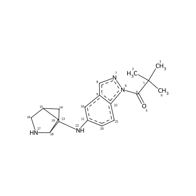 CC(C)(C)C(=O)n1ncc2cc(NC3CC4CNC3C4)ccc21